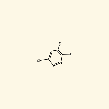 Fc1n[c]c(Cl)cc1Cl